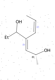 C/C=C\C(=C/[C@@H](C)O)C(O)CC